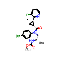 CC[C@H](C)[C@@H](CN(C(=O)[C@@H]1C[C@H]1c1ncccc1F)c1ccc(Br)cc1)NC(=O)OC(C)(C)C